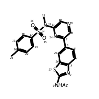 CC(=O)Nc1nc2ccc(-c3cncc(N(C)S(=O)(=O)c4ccc(C)cc4)n3)cc2s1